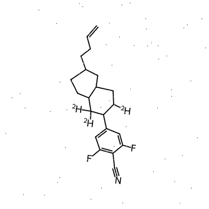 [2H]C1CC2CC(CCC=C)CCC2C([2H])([2H])C1c1cc(F)c(C#N)c(F)c1